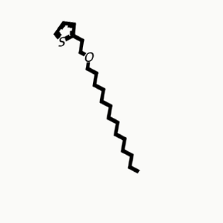 CCCCCCCCCCCCCCOCCc1cccs1